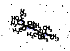 C=C/C=C(\CC)C(=O)O[C@@H](C/C=C(C)/C=C(\C)[C@H](OC)[C@H](/C=C(/C)CO)CC)C(C)C